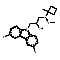 CSN(CC(O)Cn1c2ccc(F)cc2c2cc(F)ccc21)C1(C)CCC1